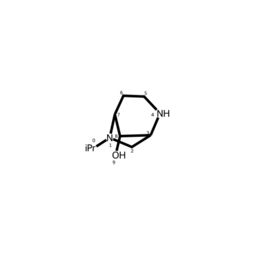 CC(C)N1CC2NCCC1C2O